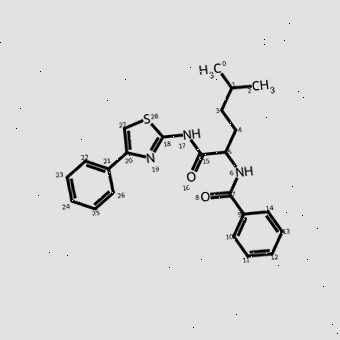 CC(C)CCC(NC(=O)c1ccccc1)C(=O)Nc1nc(-c2ccccc2)cs1